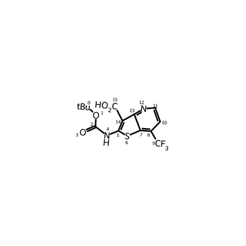 CC(C)(C)OC(=O)Nc1sc2c(C(F)(F)F)ccnc2c1C(=O)O